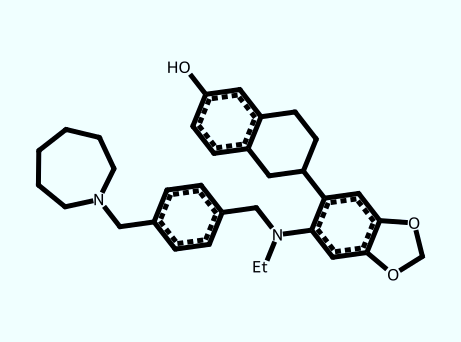 CCN(Cc1ccc(CN2CCCCCC2)cc1)c1cc2c(cc1C1CCc3cc(O)ccc3C1)OCO2